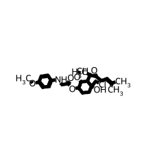 COc1ccc(NCC(=O)OC2CCC(O)(CCl)C(C3(C)OC3CC=C(C)C)C2OC)cc1